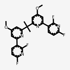 COc1cc(-c2ccc(F)nc2F)nc(C(C)(C)c2cc(OC)cc(-c3ccc(F)nc3F)n2)c1